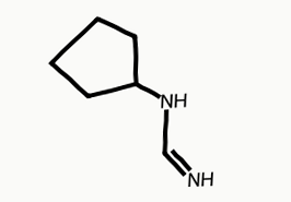 N=CNC1CCCC1